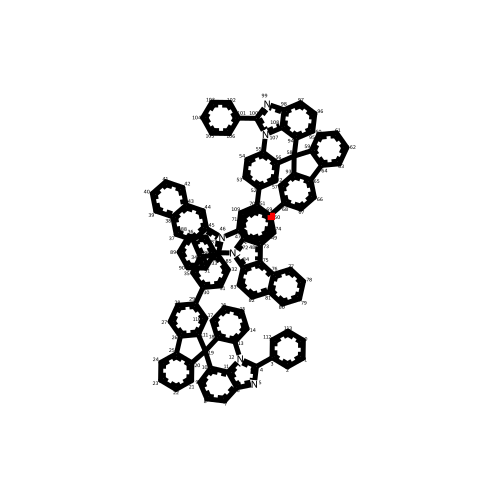 c1ccc(-c2nc3cccc4c3n2-c2ccccc2C42c3ccccc3-c3ccc(-c4ccc5c(c4)c4cc6ccccc6cc4n5-c4cccc(-c5ccc6c(c5)C5(c7ccccc7-c7ccc(-c8ccc9c(c8)c8c%10ccccc%10ccc8n9-c8ccccc8)cc75)c5cccc7nc(-c8ccccc8)n-6c57)c4)cc32)cc1